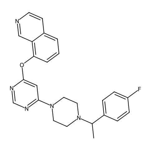 CC(c1ccc(F)cc1)N1CCN(c2cc(Oc3cccc4ccncc34)ncn2)CC1